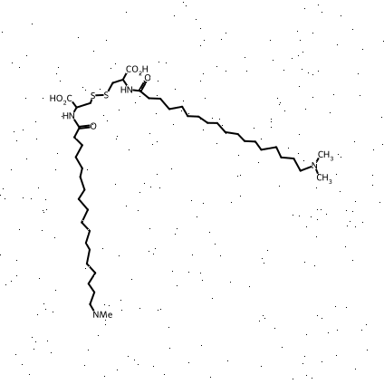 CNCCCCCCCCCCCCCCCCCC(=O)NC(CSSCC(NC(=O)CCCCCCCCCCCCCCCCCN(C)C)C(=O)O)C(=O)O